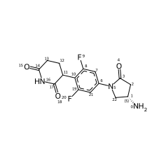 N[C@H]1CC(=O)N(c2cc(F)c(C3CCC(=O)NC3=O)c(F)c2)C1